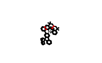 CC1(C)CCC(C)(C)c2c(N(c3cc4c(cc3-c3ccccc3)C3(c5ccccc5-4)C4CC5CC(C4)C3C5)c3cccc4c3C(C)(C)CCC4(C)C)cccc21